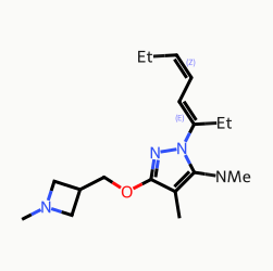 CC/C=C\C=C(/CC)n1nc(OCC2CN(C)C2)c(C)c1NC